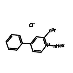 CCCCCC[n+]1ccc(-c2ccccc2)cc1CCC.[Cl-]